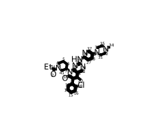 CCC(=O)N1CCCC(n2c(=O)c(-c3ccccc3Cl)c(C)c3cnc(Nc4ccc(N5CCN(C)CC5)cn4)nc32)C1